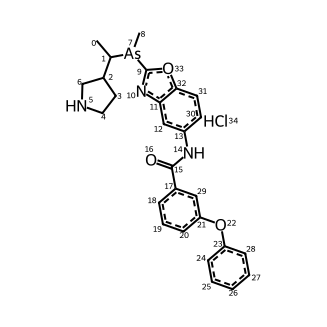 CC(C1CCNC1)[As](C)c1nc2cc(NC(=O)c3cccc(Oc4ccccc4)c3)ccc2o1.Cl